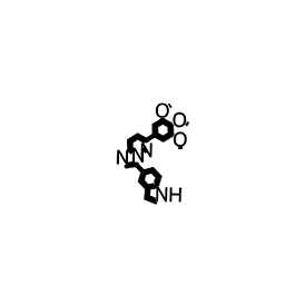 COc1cc(-c2ccc3ncc(-c4ccc5[nH]ccc5c4)n3n2)cc(OC)c1OC